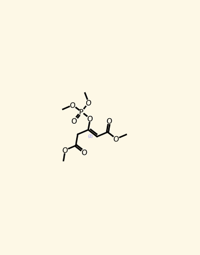 COC(=O)/C=C(/CC(=O)OC)OP(=O)(OC)OC